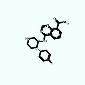 NC(=O)c1cccc2c(N[C@@H]3CNCC[C@H]3C3C=CC(F)=CC3)ncnc12